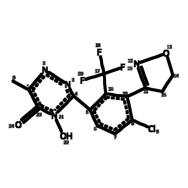 Cc1nnc(-c2ccc(Cl)c(C3=NOCC3)c2C(F)(F)F)n(O)c1=O